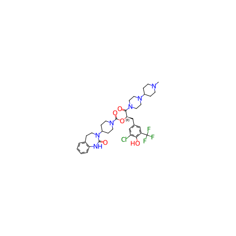 CN1CCC(N2CCN(C(=O)[C@@H](Cc3cc(Cl)c(O)c(C(F)(F)F)c3)OC(=O)N3CCC(N4CCc5ccccc5NC4=O)CC3)CC2)CC1